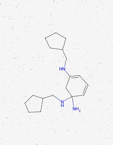 NC1(NCC2CCCC2)C=CC=C(NCC2CCCC2)C1